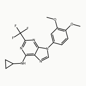 COc1ccc(-n2cnc3c(NC4CC4)nc(C(F)(F)F)nc32)cc1OC